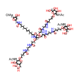 COC[C@H]1O[C@H](CNC(=O)CCCCCCCCCCC(=O)NC(COCCC(=O)NCCCNC(=O)CCCCOC2OCC(CO)C(O)C(O)C2NC(C)=O)(COCCC(=O)NCCCNC(=O)CCCCOC2OC(CO)C(O)C(O)C2NC(C)=O)COCCC(=O)NCCCNC(=O)CCCCOC2OC(CO)C(O)C(O)C2NC(C)=O)C[C@@H]1O